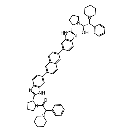 O=C([C@@H](c1ccccc1)N1CCCCC1)N1CCC[C@H]1c1nc2ccc(-c3ccc4cc(-c5ccc6nc([C@@H]7CCCN7C(O)[C@@H](c7ccccc7)N7CCCCC7)[nH]c6c5)ccc4c3)cc2[nH]1